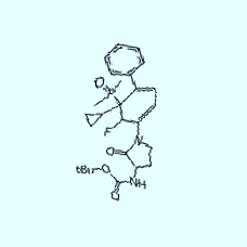 CC(C)(C)OC(=O)NC1CCN(C2=CC=C(c3ccccc3)C(C3CC3)(P(C)(C)=O)C2F)C1=O